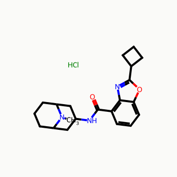 CN1C2CCCC1CC(NC(=O)c1cccc3oc(C4CCC4)nc13)C2.Cl